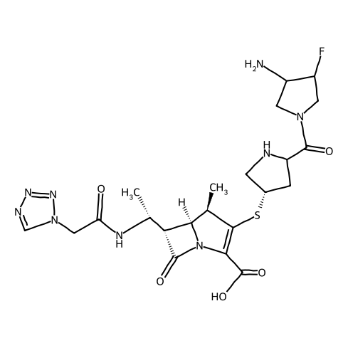 C[C@@H](NC(=O)Cn1cnnn1)[C@H]1C(=O)N2C(C(=O)O)=C(S[C@@H]3CNC(C(=O)N4CC(N)C(F)C4)C3)[C@H](C)[C@H]12